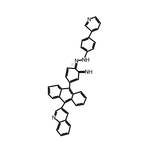 N=C1C=C(c2c3ccccc3c(-c3cnc4ccccc4c3)c3ccccc23)C=C/C1=N/Nc1ccc(-c2cccnc2)cc1